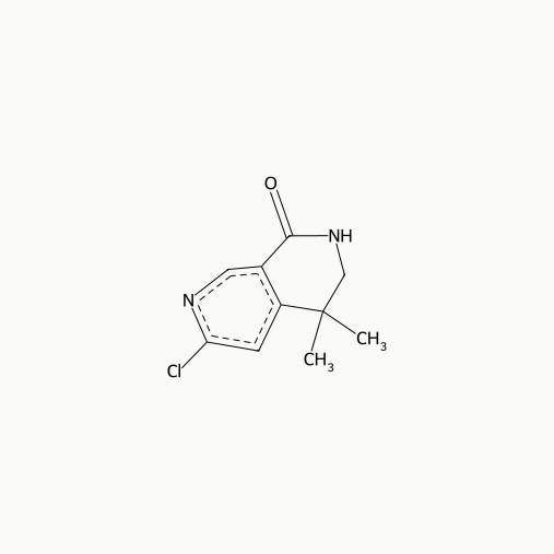 CC1(C)CNC(=O)c2cnc(Cl)cc21